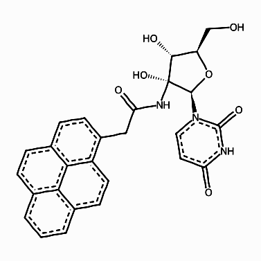 O=C(Cc1ccc2ccc3cccc4ccc1c2c34)N[C@@]1(O)[C@H](O)[C@@H](CO)O[C@H]1n1ccc(=O)[nH]c1=O